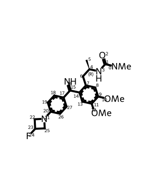 CNC(=O)N[C@H](C)Cc1cc(OC)c(OC)cc1C(=N)c1ccc(N2CC(F)C2)cc1